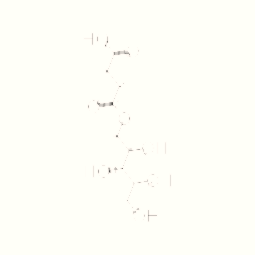 O=C(O)CCC(=O)OCC(O)C(O)C(O)CO